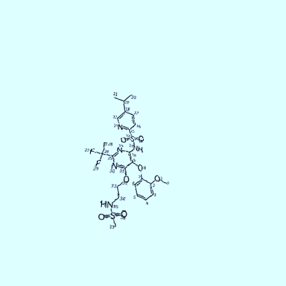 COc1ccccc1Oc1c(NS(=O)(=O)c2ccc(C(C)C)cn2)nc(C(F)(F)F)nc1OCCNS(C)(=O)=O